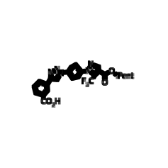 CCCC(C)OC(=O)c1cnn(-c2ccc(-n3cc(-c4cccc(C(=O)O)c4)nn3)cc2)c1C(F)(F)F